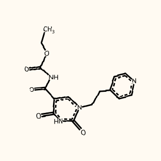 CCOC(=O)NC(=O)c1cn(CCc2ccncc2)c(=O)[nH]c1=O